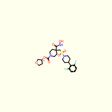 O=C(O[C@H]1CCOC1)N1CCC(CS(=O)(=O)N2CCC(c3c(F)cccc3F)CC2)(C(=O)NO)CC1